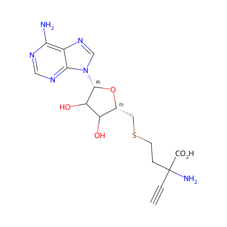 C#CC(N)(CCSC[C@H]1O[C@@H](n2cnc3c(N)ncnc32)C(O)C1O)C(=O)O